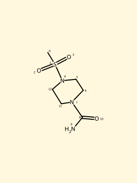 CS(=O)(=O)N1CCN(C(N)=O)CC1